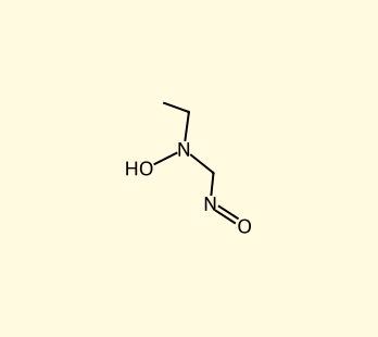 CCN(O)CN=O